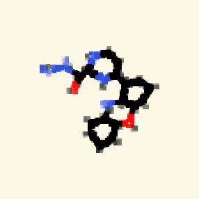 NNC(=O)c1nccc(-c2cccc3c2Nc2ccccc2O3)n1